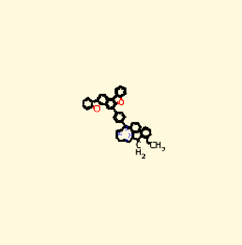 C=Cc1ccccc1C(=C)C1=c2\cccc\c2=C(c2ccc(-c3cc4c(ccc5c6ccccc6oc54)c4c3oc3ccccc34)cc2)\C=C\CC\C=C\1